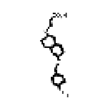 Cc1ccc(COc2ccc3c(c2)CCC(OCCC(=O)O)C3)cc1